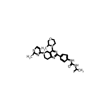 Cc1nccc(N2CCc3nc(-c4ccc(NC(=O)NC(C)I)cc4)nc(N4CCOCC4C)c3C2)n1